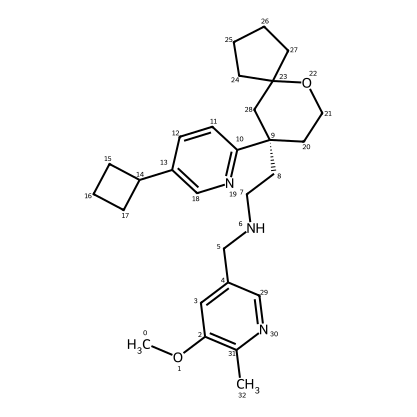 COc1cc(CNCC[C@@]2(c3ccc(C4CCC4)cn3)CCOC3(CCCC3)C2)cnc1C